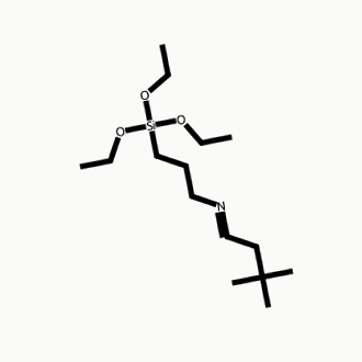 CCO[Si](CCCN=CCC(C)(C)C)(OCC)OCC